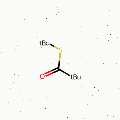 CC(C)(C)SC(=O)C(C)(C)C